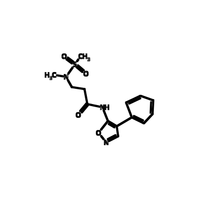 CN(CCC(=O)Nc1oncc1-c1ccccc1)S(C)(=O)=O